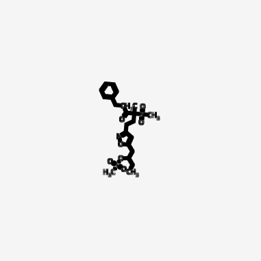 CCC(Cc1cc(CCC(C)(C(=O)OCc2ccccc2)S(C)(=O)=O)no1)OS(C)(=O)=O